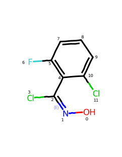 O/N=C(/Cl)c1c(F)cccc1Cl